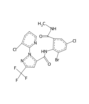 CNC(=O)c1cc(Cl)cc(Br)c1NC(=O)c1cc(C(F)(F)F)nn1-c1ncccc1Cl